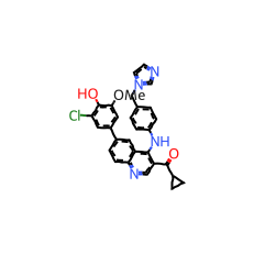 COc1cc(-c2ccc3ncc(C(=O)C4CC4)c(Nc4ccc(Cn5ccnc5)cc4)c3c2)cc(Cl)c1O